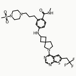 CNC(=O)c1ccc(NC2CC3(CCN(c4ncnc5sc(CC(F)(F)F)cc45)C3)C2)cc1CCCN1CCN(S(C)(=O)=O)CC1